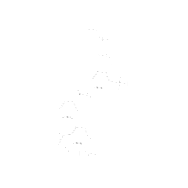 CCN1CCN(Cc2ccc(NC(=O)c3ccc(C)c(-c4cnc(NC)c5[nH]cnc45)c3)cc2C(F)(F)F)CC1